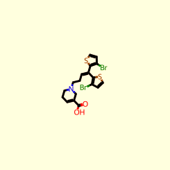 O=C(O)C1=CCCN(CCC=C(c2sccc2Br)c2sccc2Br)C1